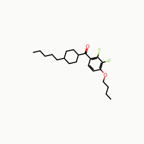 CCCCCC1CCC(C(=O)c2ccc(OCCCC)c(F)c2F)CC1